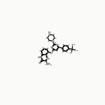 Nc1nc2c(Oc3cc(-c4ccc(C(F)(F)F)cc4)nc(N4CCNCC4)n3)cccc2[nH]c1=O